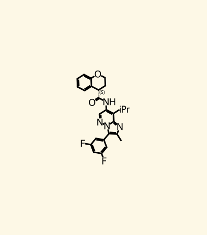 Cc1nc2c(C(C)C)c(NC(=O)[C@H]3CCOc4ccccc43)cnn2c1-c1cc(F)cc(F)c1